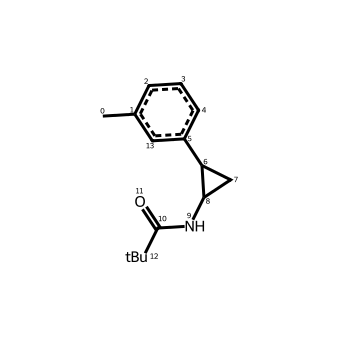 Cc1cccc(C2CC2NC(=O)C(C)(C)C)c1